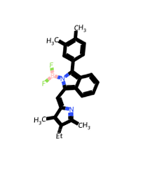 CCC1C(C)=N/C(=C\c2c3ccccc3c(-c3ccc(C)c(C)c3)n2B(F)F)C1C